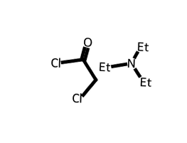 CCN(CC)CC.O=C(Cl)CCl